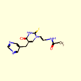 CC(=O)NCCn1cc(Cc2cncnc2)c(=O)[nH]c1=S